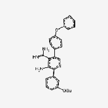 CC(C)COc1cccc(-c2ncc(-c3ccc(Oc4ccccc4)cc3)c(C(=N)N)c2N)c1